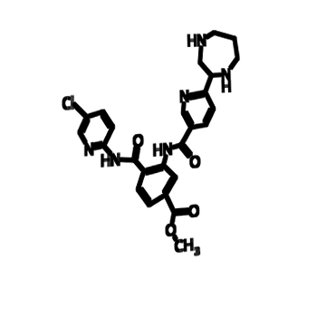 COC(=O)c1ccc(C(=O)Nc2ccc(Cl)cn2)c(NC(=O)c2ccc(C3CNCCCN3)nc2)c1